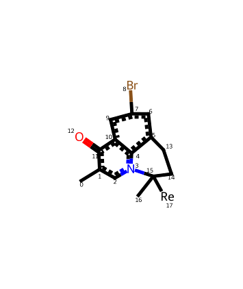 Cc1cn2c3c(cc(Br)cc3c1=O)CC[C]2(C)[Re]